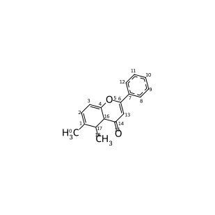 CC1=CC=C2OC(c3ccccc3)=CC(=O)C2C1C